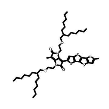 CCCCCCC(CCCCCC)COCCN1C(=O)C(c2cc3sc4c5sc(C)cc5sc4c3s2)=C2C1=C(C)C(=O)N2CCOCC(CCCCCC)CCCCCC